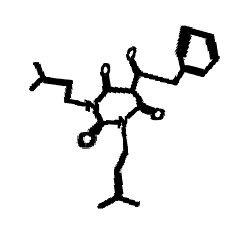 CC(C)=CCN1C(=O)C(C(=O)Cc2ccccc2)C(=O)N(CC=C(C)C)C1=O